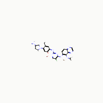 CCc1cc(Nc2ncc(Br)c(Nc3ccc4nccnc4c3N(SC)C(C)C)n2)c(OC)cc1N1CCC(N(C)C)C1